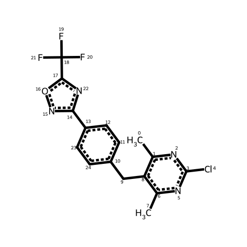 Cc1nc(Cl)nc(C)c1Cc1ccc(-c2noc(C(F)(F)F)n2)cc1